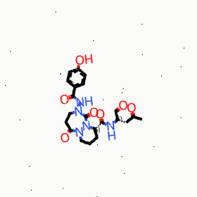 CC(=O)C[C@@H](C=O)NC(=O)[C@@H]1CCCN2C(=O)CCN(NC(=O)c3ccc(O)cc3)C(=O)N12